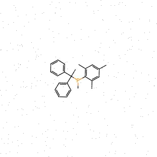 Cc1cc(C)c(P(C)C(C)(c2ccccc2)c2ccccc2)c(C)c1